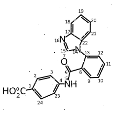 O=C(O)c1ccc(NC(=O)c2ccccc2-n2cnc3ccccc32)cc1